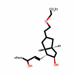 CCCCCC(O)C=C[C@@H]1[C@@H]2CC(CCOCC(=O)OCC)C[C@H]2C[C@H]1O